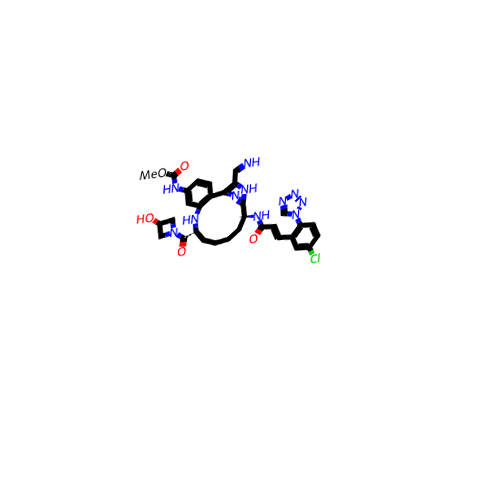 COC(=O)Nc1ccc2c(c1)N[C@@H](C(=O)N1CC(O)C1)CCCC[C@H](NC(=O)/C=C/c1cc(Cl)ccc1-n1cnnn1)c1nc-2c(C=N)[nH]1